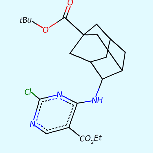 CCOC(=O)c1cnc(Cl)nc1NC1C2CC3CC1CC(C(=O)OC(C)(C)C)(C3)C2